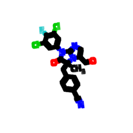 C[C@@]1(Cc2ccc(C#N)cc2)C(=O)N(c2cc(Cl)c(F)c(Cl)c2)c2ncc(C=O)n21